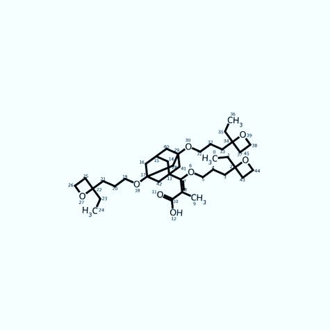 CCC1(CCCOC(=C(C)C(=O)O)C23CC4CC(OCCCC5(CC)CCO5)(CC(OCCCC5(CC)CCO5)(C4)C2)C3)CCO1